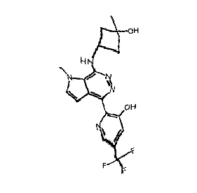 Cn1ccc2c(-c3ncc(C(F)(F)F)cc3O)nnc(NC3CC(C)(O)C3)c21